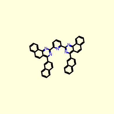 c1cc(-c2nc(-c3ccc4ccccc4c3)c3ccc4ccccc4c3n2)nc(-c2nc(-c3ccc4ccccc4c3)c3ccc4ccccc4c3n2)c1